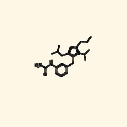 CCCc1cc(CC(C)C)c(Cc2cccc(NC(N)=O)c2)n1C(C)C